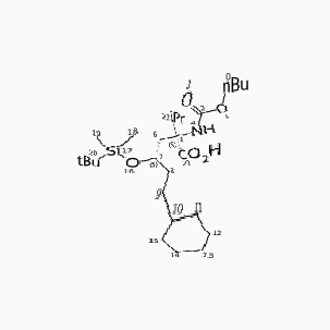 CCCCOC(=O)N[C@](C[C@H](CCC1CCCCC1)O[Si](C)(C)C(C)(C)C)(C(=O)O)C(C)C